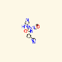 COc1c(Nc2ccncc2)nc(N2CCO[C@H](C)C2)nc1-c1cccc(-c2ccn(C)n2)c1